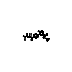 CNC(=O)CNC(=O)c1ccc(-c2cc(C(=O)NC3CC3)ccc2C)cc1